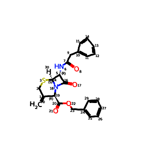 C=C1CS[C@H]2[C@H](NC(=O)Cc3ccccc3)C(=O)N2[C@H]1C(=O)OCc1ccccc1